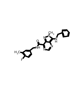 Cc1cc(CNC(=O)c2ncnc3c(NCc4ccccc4)n(C)nc23)ccc1F